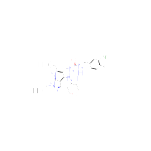 CCc1nc2c(cnn2CC)c(NC2CCOCC2)c1CNC(=O)NCc1ccc(C)c(Br)c1